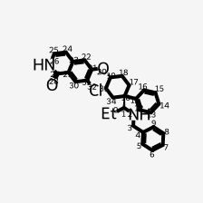 CCC(NCc1ccccc1)[C@]1(c2ccccc2)CC[C@H](Oc2cc3cc[nH]c(=O)c3cc2Cl)CC1